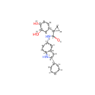 O=C(Nc1ccc2[nH]c(-c3ccccc3)cc2c1)C1(c2ccc(O)c(O)c2)CC1